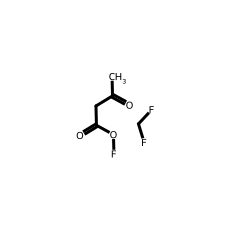 CC(=O)CC(=O)OF.FCF